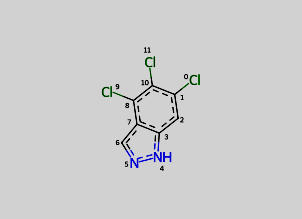 Clc1cc2[nH]ncc2c(Cl)c1Cl